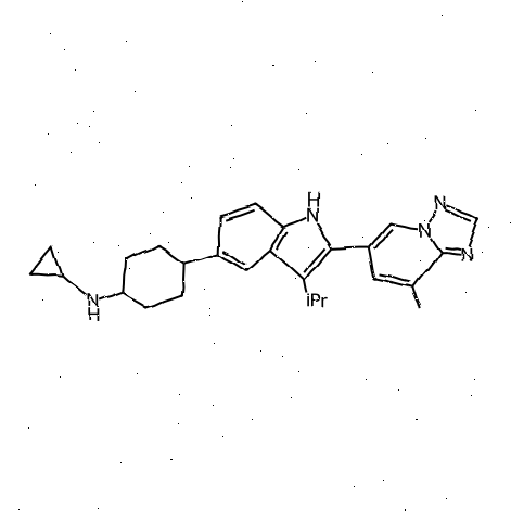 Cc1cc(-c2[nH]c3ccc(C4CCC(NC5CC5)CC4)cc3c2C(C)C)cn2ncnc12